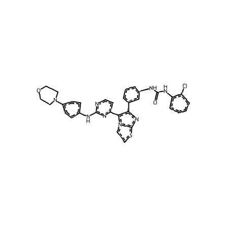 O=C(Nc1cccc(-c2nc3sccn3c2-c2ccnc(Nc3ccc(N4CCOCC4)cc3)n2)c1)Nc1ccccc1Cl